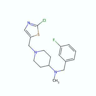 CN(Cc1cccc(F)c1)C1CCN(Cc2cnc(Cl)s2)CC1